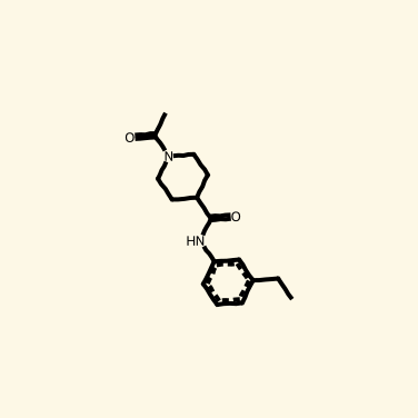 CCc1cccc(NC(=O)C2CCN(C(C)=O)CC2)c1